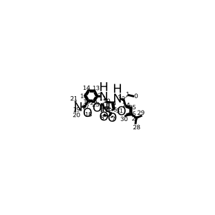 CC[C@@H](NC1=CS(=O)(=O)N=C1Nc1cccc(C(=O)N(C)C)c1O)c1cc(C(C)C)co1